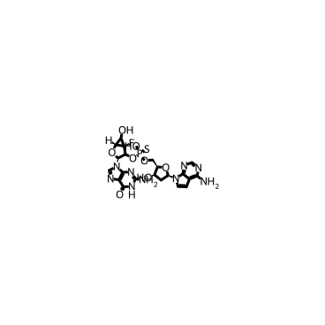 Nc1nc2c(ncn2[C@@H]2O[C@@H]3C(O)[C@]3(F)C2OP(O)(=S)OC[C@H]2O[C@@H](n3ccc4c(N)ncnc43)C[C@@H]2O)c(=O)[nH]1